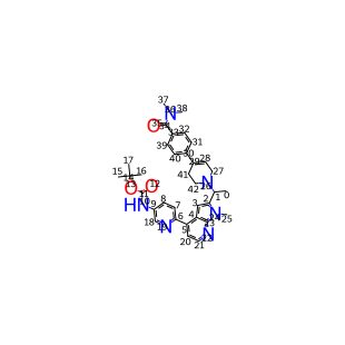 CC(c1cc2c(-c3ccc(NC(=O)OC(C)(C)C)cn3)ccnc2n1C)N1CC=C(c2ccc(C(=O)N(C)C)cc2)CC1